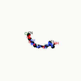 CCc1cnn2c(NCc3ccc(OCCCN4CCN(CC5CCN(c6ccc(C(=O)N[C@H]7CC[C@H](Oc8ccc(C#N)c(Cl)c8)CC7)nn6)CC5)CC4)nc3)cc(N3CCCC[C@H]3CCO)nc12